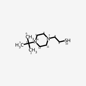 CC(C)(C)N1CCN(CCS)CC1